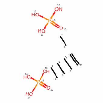 C=C.CC.CC.CC.CC.O=P(O)(O)O.O=P(O)(O)O